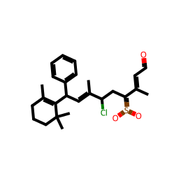 CC(=CC=O)C(CC(Cl)C(C)=CC(C1=C(C)CCCC1(C)C)c1ccccc1)=S(=O)=O